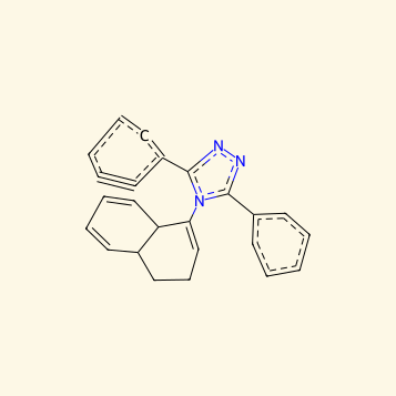 c1cccc(-c2nnc(-c3ccccc3)n2C2=CCCC3C=CC=CC23)c#1